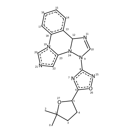 CC1(C)CCC(c2nc(N3C=NC4c5ccccc5-n5cncc5N43)no2)O1